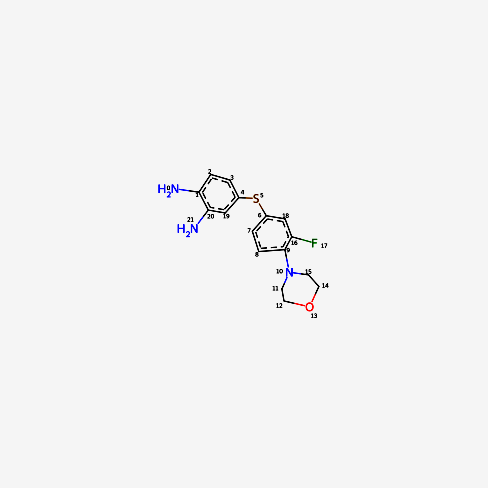 Nc1ccc(Sc2ccc(N3CCOCC3)c(F)c2)cc1N